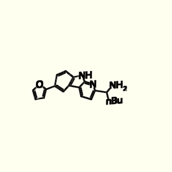 CCCCC(N)c1ccc2c(n1)[nH]c1ccc(-c3ccco3)cc12